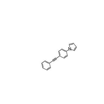 C(#Cc1ccc(-n2cccc2)cc1)c1ccccc1